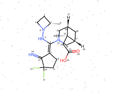 C[C@H]1CCN1N/C(=C1/CCC(F)(F)C1=N)N1C[C@H]2C[C@@H](C1)[C@@H]2CC(=O)O